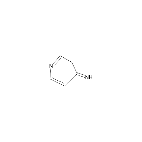 N=C1C=CN=CC1